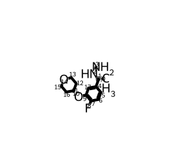 C[C@@H](NN)c1ccc(F)c(OC2CCOCC2)c1